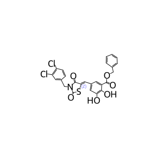 O=C(OCc1ccccc1)c1cc(/C=C2\SC(=O)N(Cc3ccc(Cl)c(Cl)c3)C2=O)cc(O)c1O